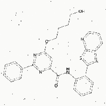 O=C(Nc1ccccc1-c1nc2cccnc2s1)c1cc(OCCCCO)nc(-c2ccccc2)n1